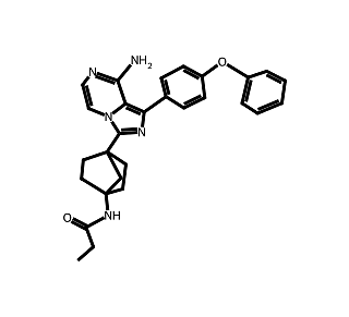 CCC(=O)NC12CCC(c3nc(-c4ccc(Oc5ccccc5)cc4)c4c(N)nccn34)(CC1)C2